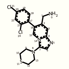 NCc1cc2ncc(N3CCSCC3)n2cc1-c1ccc(Cl)cc1Cl